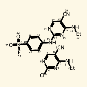 CCNc1nc(Cl)ncc1C#N.CCNc1nc(Nc2ccc(S(=O)(=O)F)cc2)ncc1C#N